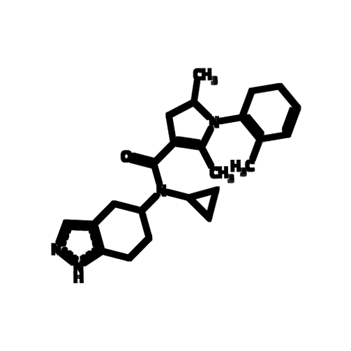 CC1=C(N2C(C)=C(C(=O)N(C3CC3)C3CCc4[nH]ncc4C3)CC2C)CCC=C1